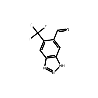 O=Cc1cc2[nH]nnc2cc1C(F)(F)F